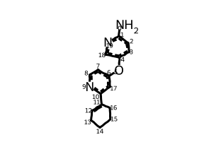 Nc1ccc(Oc2ccnc(C3=CCCCC3)c2)cn1